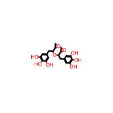 Oc1cc(CC(OC(Cc2cc(O)c(O)c(O)c2)C2CO2)C2CO2)cc(O)c1O